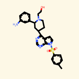 Cc1ccc(S(=O)(=O)n2ccc3c(C4CCN(CCO)C(c5cccc(N)c5)C4)ncnc32)cc1